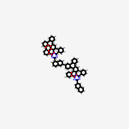 c1ccc(-c2nc(-c3ccc4ccccc4c3)nc(-c3ccccc3-c3cc4c5ccccc5c5cc(-c6ccc7c(-c8nc(-c9ccccc9-c9cc%10c%11ccccc%11c%11ccccc%11c%10c%10ccccc9%10)nc(-c9cccc%10ccccc9%10)n8)cccc7c6)ccc5c4c4ccccc34)n2)cc1